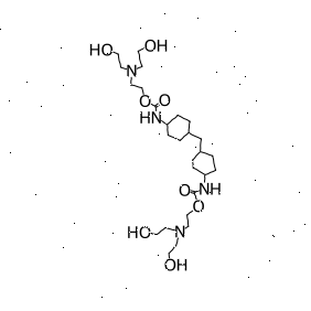 O=C(NC1CCC(CC2CCC(NC(=O)OCCN(CCO)CCO)CC2)CC1)OCCN(CCO)CCO